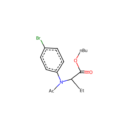 CCCCOC(=O)C(CC)N(C(C)=O)c1ccc(Br)cc1